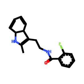 CC1=C(CCNC(=O)c2ccccc2F)C2C=CC=CC2N1